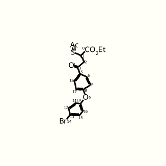 CCOC(=O)C(CC(=O)c1ccc(Oc2ccc(Br)cc2)cc1)SC(C)=O